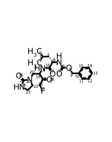 CC(C)C[C@H](NC(=O)OCc1ccccc1)C(=O)NC(CN1CCNC1=O)C(=O)CF